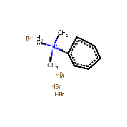 Br.Br.Br.C[N+](C)(C)c1ccccc1.[Br-]